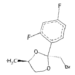 [CH2][C@@H]1CO[C@](CBr)(c2ccc(F)cc2F)O1